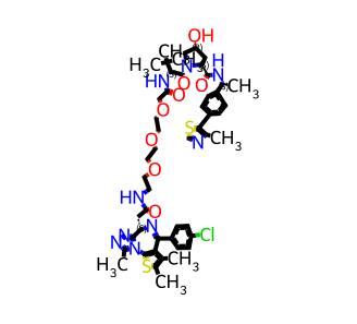 Cc1ncsc1-c1ccc([C@H](C)NC(=O)[C@@H]2C[C@@H](O)CN2C(=O)[C@@H](NC(=O)COCCOCCOCCNC(=O)C[C@@H]2N=C(c3ccc(Cl)cc3)c3c(sc(C)c3C)-n3c(C)nnc32)C(C)(C)C)cc1